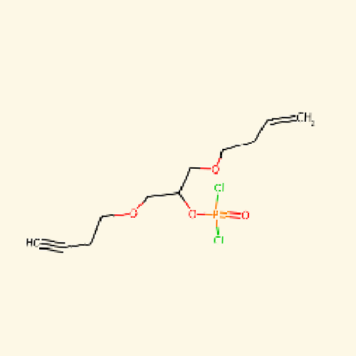 C#CCCOCC(COCCC=C)OP(=O)(Cl)Cl